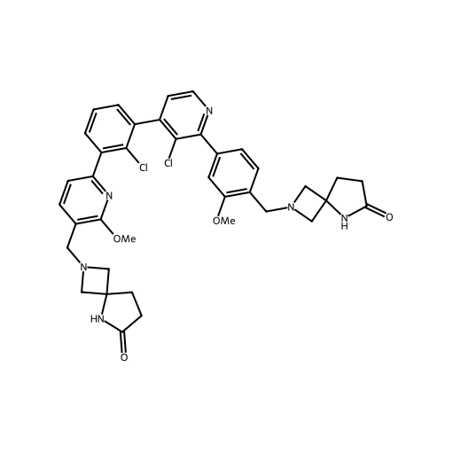 COc1cc(-c2nccc(-c3cccc(-c4ccc(CN5CC6(CCC(=O)N6)C5)c(OC)n4)c3Cl)c2Cl)ccc1CN1CC2(CCC(=O)N2)C1